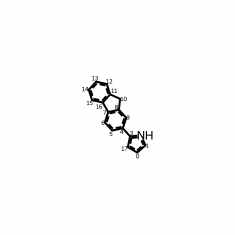 c1c[nH]c(-c2ccc3c(c2)Cc2ccccc2-3)c1